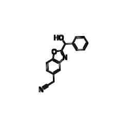 N#CCc1ccc2oc(C(O)c3ccccc3)nc2c1